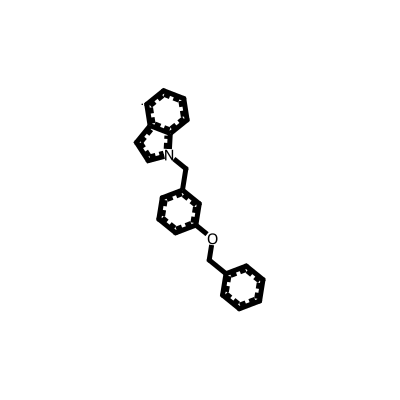 [c]1cccc2c1ccn2Cc1cccc(OCc2ccccc2)c1